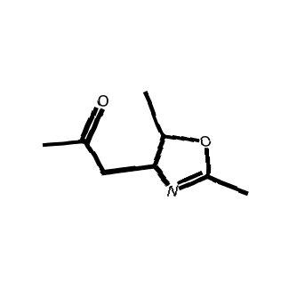 CC(=O)CC1N=C(C)OC1C